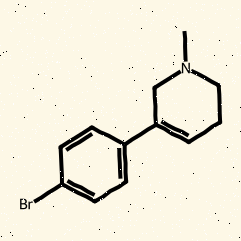 CN1CCC=C(c2ccc(Br)cc2)C1